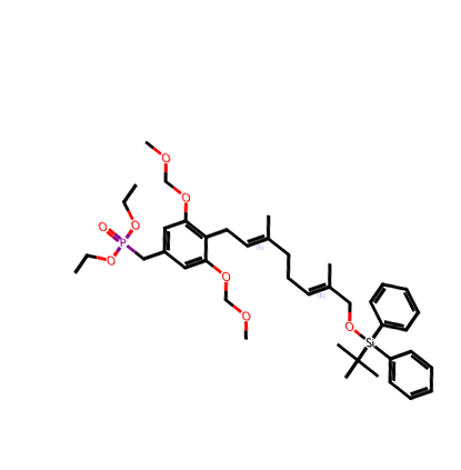 CCOP(=O)(Cc1cc(OCOC)c(C/C=C(\C)CC/C=C(\C)CO[Si](c2ccccc2)(c2ccccc2)C(C)(C)C)c(OCOC)c1)OCC